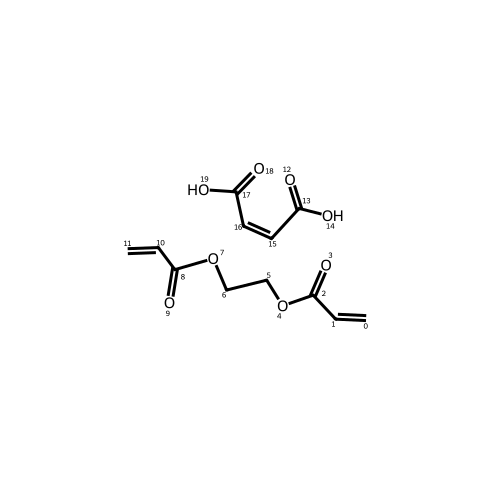 C=CC(=O)OCCOC(=O)C=C.O=C(O)/C=C\C(=O)O